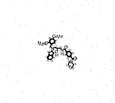 COc1ccc(CN(C[C@H](O)CNC(=O)c2ccc(C(=O)N3CCOCC3)cc2)C2Cc3ccccc3C2)c(OC)c1